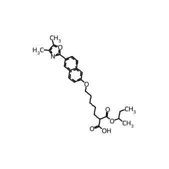 CCC(C)OC(=O)C(CCCCCOc1ccc2cc(-c3nc(C)c(C)o3)ccc2c1)C(=O)O